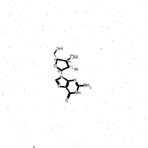 Nc1nc2c(ncn2[C@@H]2O[C@H](CO)[C@@H](O)[C@@H]2Br)c(=O)[nH]1